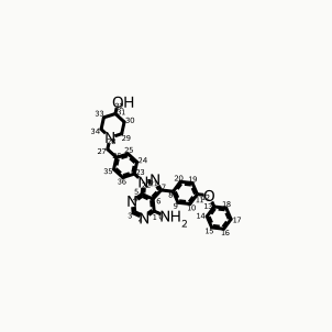 Nc1ncnc2c1c(-c1ccc(Oc3ccccc3)cc1)nn2-c1ccc(CN2CCC(O)CC2)cc1